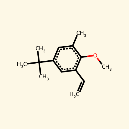 C=Cc1cc(C(C)(C)C)cc(C)c1OC